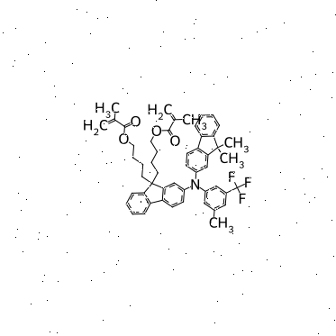 C=C(C)C(=O)OCCCCC1(CCCCOC(=O)C(=C)C)c2ccccc2-c2ccc(N(c3cc(C)cc(C(F)(F)F)c3)c3ccc4c(c3)C(C)(C)c3ccccc3-4)cc21